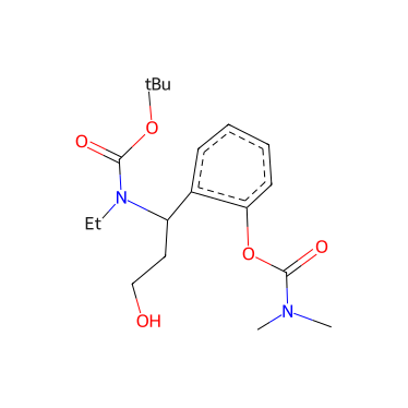 CCN(C(=O)OC(C)(C)C)C(CCO)c1ccccc1OC(=O)N(C)C